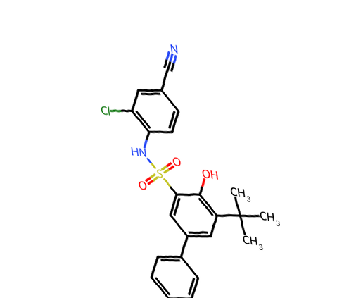 CC(C)(C)c1cc(-c2ccccc2)cc(S(=O)(=O)Nc2ccc(C#N)cc2Cl)c1O